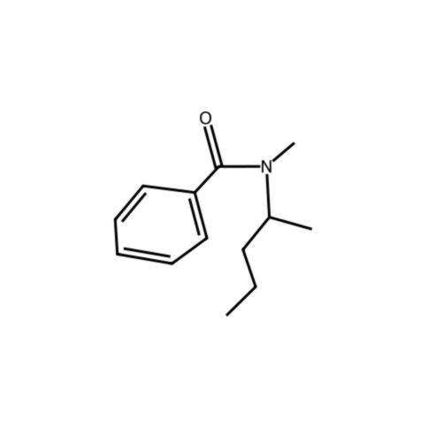 CCCC(C)N(C)C(=O)c1ccccc1